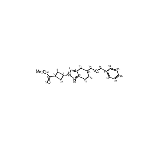 COC(=O)[C@H]1C[C@@H](n2cc3c(n2)CCC(COCc2ccccc2)C3)C1